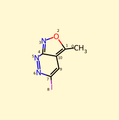 Cc1onc2nnc(I)cc12